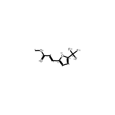 COC(=O)/C=C/c1ccc(C(F)(F)F)o1